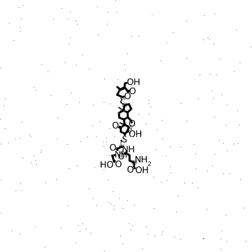 CC1=C(CO)C(=O)O[C@@H](C[C@H]2CCC3C4CO[C@@]5(C)[C@@H](O)C(SC[C@H](NC(=O)CC[C@@H](N)C(=O)O)C(=O)NCC(=O)O)CC(=O)[C@]5(C)C4CC[C@@]32C)C1